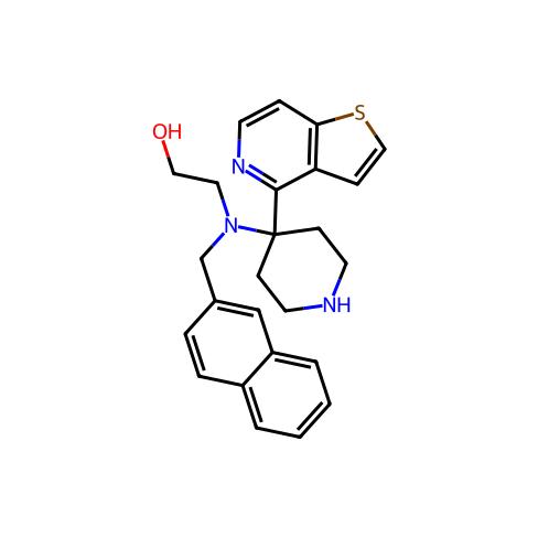 OCCN(Cc1ccc2ccccc2c1)C1(c2nccc3sccc23)CCNCC1